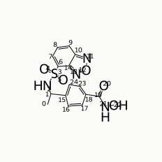 CC(NS(=O)(=O)c1cccc2nonc12)c1ccc(C(=O)NO)cc1